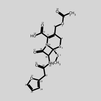 CS[C@]12SCC(COC(C)=O)=C(C(=O)O)N1C(=O)C2NC(=O)Cc1ccco1